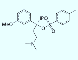 COc1cccc([C@](CCN(C)C)(OS(=O)(=O)c2ccc(C)cc2)C(C)C)c1